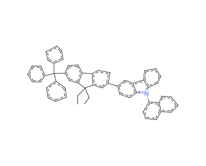 CCC1(CC)c2cc(-c3ccc4c(c3)c3ccccc3n4-c3cccc4ccccc34)ccc2-c2ccc(C(c3ccccc3)(c3ccccc3)c3ccccc3)cc21